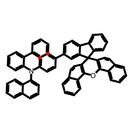 c1ccc(-c2ccccc2N(c2ccc(-c3ccc4c(c3)C3(c5ccccc5-4)c4ccc5ccccc5c4Oc4c3ccc3ccccc43)cc2)c2cccc3ccccc23)cc1